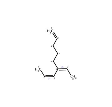 C=CCCCC(/C=C\C)=C/C